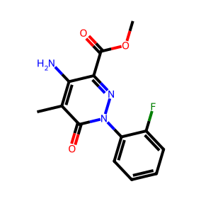 COC(=O)c1nn(-c2ccccc2F)c(=O)c(C)c1N